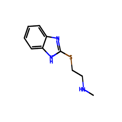 CNCCSc1nc2ccccc2[nH]1